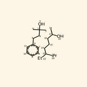 CC(C)(O)CCc1ccccc1.CCC(CCCC(C)O)C(C)C